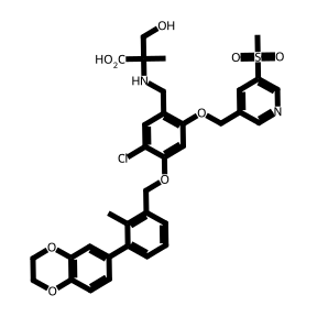 Cc1c(COc2cc(OCc3cncc(S(C)(=O)=O)c3)c(CNC(C)(CO)C(=O)O)cc2Cl)cccc1-c1ccc2c(c1)OCCO2